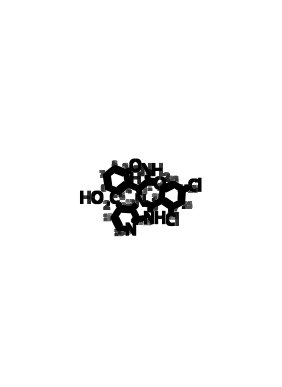 NC(=O)C(c1ccccc1O)N1c2c(C(=O)O)ccnc2NC1c1ccc(Cl)cc1Cl